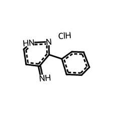 Cl.N=c1cc[nH]nc1-c1ccccc1